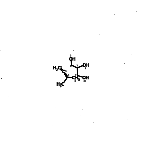 C=C=C(C)C.OCC(O)CO